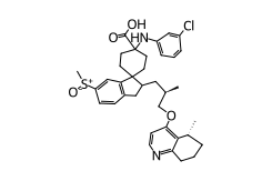 C[C@@H](COc1ccnc2c1[C@H](C)CCC2)CC1Cc2ccc([S+](C)[O-])cc2C12CCC(Nc1cccc(Cl)c1)(C(=O)O)CC2